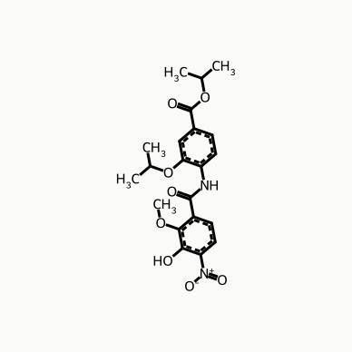 COc1c(C(=O)Nc2ccc(C(=O)OC(C)C)cc2OC(C)C)ccc([N+](=O)[O-])c1O